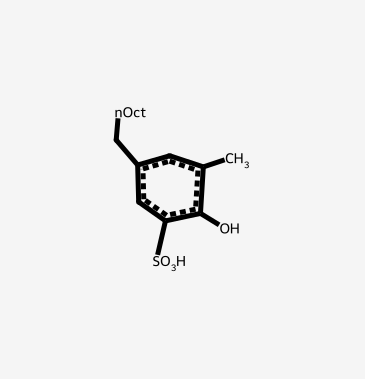 CCCCCCCCCc1cc(C)c(O)c(S(=O)(=O)O)c1